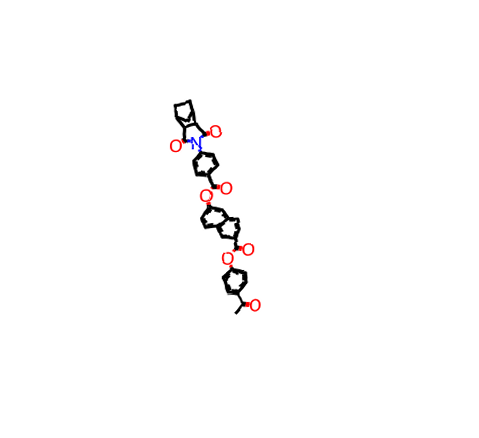 CC(=O)c1ccc(OC(=O)c2ccc3cc(OC(=O)c4ccc(N5C(=O)C6C7CCC(C7)C6C5=O)cc4)ccc3c2)cc1